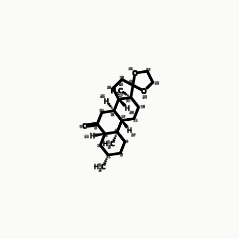 C[C@H]1CC[C@@]2(C)[C@H](C1)C(=O)C[C@@H]1[C@@H]2CC[C@@]2(C)[C@H]1CCC21OCCO1